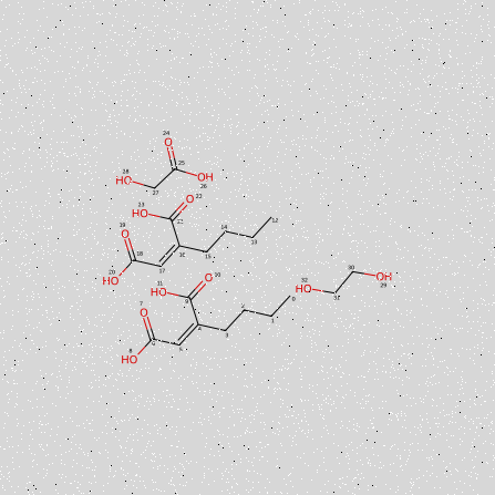 CCCCC(=CC(=O)O)C(=O)O.CCCCC(=CC(=O)O)C(=O)O.O=C(O)CO.OCCO